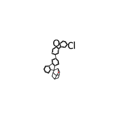 Clc1ccc2oc3ccc(-c4ccc5c(c4)-c4ccccc4C54C5CC6CC(C5)CC4C6)cc3c2c1